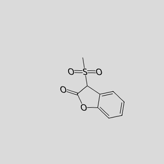 CS(=O)(=O)C1C(=O)Oc2ccccc21